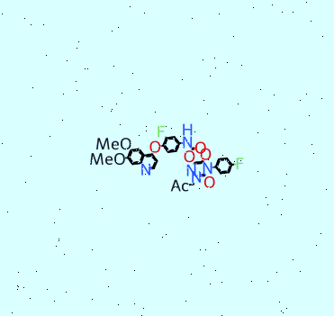 COc1cc2nccc(Oc3ccc(NC(=O)Oc4nn(CC(C)=O)c(=O)n(-c5ccc(F)cc5)c4=O)cc3F)c2cc1OC